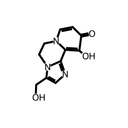 O=c1ccn2c(c1O)-c1ncc(CO)n1CC2